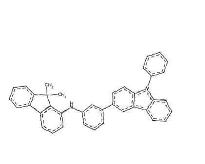 CC1(C)c2ccccc2-c2cccc(Nc3cccc(-c4ccc5c(c4)c4ccccc4n5-c4ccccc4)c3)c21